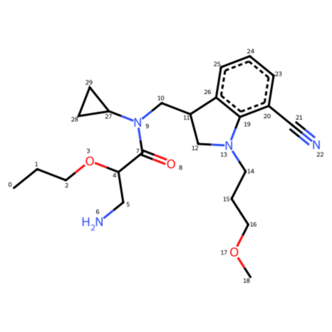 CCCOC(CN)C(=O)N(CC1CN(CCCOC)c2c(C#N)cccc21)C1CC1